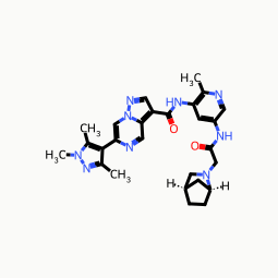 Cc1ncc(NC(=O)CN2C[C@@H]3CC[C@H]2C3)cc1NC(=O)c1cnn2cc(-c3c(C)nn(C)c3C)ncc12